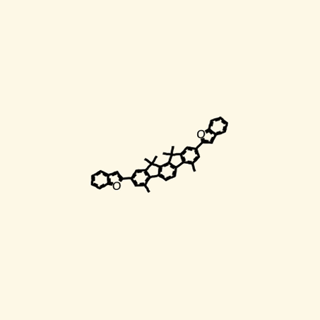 Cc1cc(-c2cc3ccccc3o2)cc2c1-c1ccc3c(c1C2(C)C)C(C)(C)c1cc(-c2cc4ccccc4o2)cc(C)c1-3